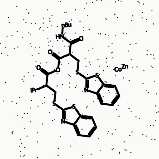 CCCCNC(=O)C(CSc1nc2ccccc2s1)C(=O)OC(=O)C(CSc1nc2ccccc2s1)C(C)C.[Co].[Zn]